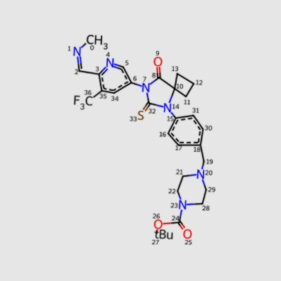 C/N=C\c1ncc(N2C(=O)C3(CCC3)N(c3ccc(CN4CCN(C(=O)OC(C)(C)C)CC4)cc3)C2=S)cc1C(F)(F)F